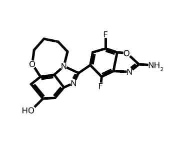 Nc1nc2c(F)c(-c3nc4cc(O)cc5c4n3CCCCO5)cc(F)c2o1